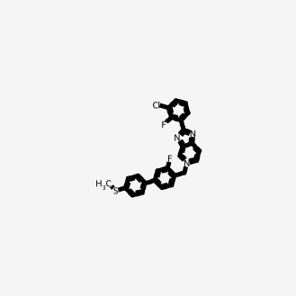 CSc1ccc(-c2ccc(Cn3ccc4nc(-c5cccc(Cl)c5F)nc-4c3)c(F)c2)cc1